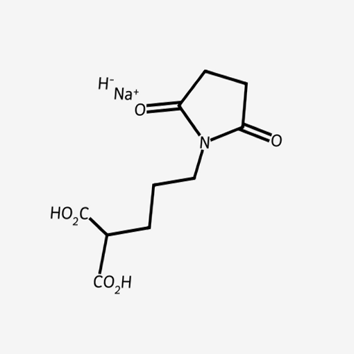 O=C(O)C(CCCN1C(=O)CCC1=O)C(=O)O.[H-].[Na+]